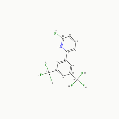 FC(F)(F)c1cc(-c2cccc(Br)n2)cc(C(F)(F)F)c1